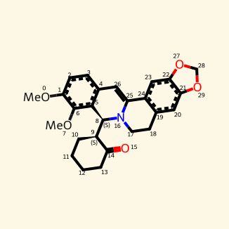 COc1ccc2c(c1OC)[C@H]([C@@H]1CCCCC1=O)N1CCc3cc4c(cc3C1=C2)OCO4